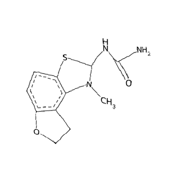 CN1c2c(ccc3c2CCO3)SC1NC(N)=O